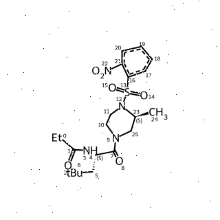 CCC(=O)N[C@@H](CC(C)(C)C)C(=O)N1CCN(S(=O)(=O)c2ccccc2[N+](=O)[O-])[C@@H](C)C1